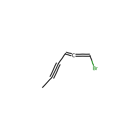 CC#CC=C=CBr